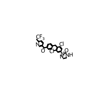 O=C(c1ccc(Cc2c(Cl)cc(N3N=CCNC3=O)cc2Cl)cc1)c1ccc(CC(F)(F)F)nc1